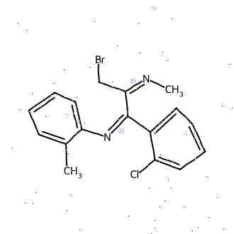 C/N=C(CBr)\C(=N/c1ccccc1C)c1ccccc1Cl